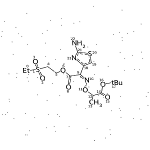 CCS(=O)(=O)CCOC(=O)C(=NOC(C)C(=O)OC(C)(C)C)c1csc(N)n1